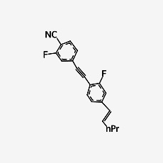 CCCC=Cc1ccc(C#Cc2ccc(C#N)c(F)c2)c(F)c1